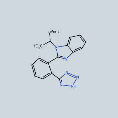 CCCCCC(C(=O)O)n1c(-c2ccccc2-c2nn[nH]n2)nc2ccccc21